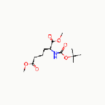 COC(=O)CCC[C@H](NC(=O)OC(C)(C)C)C(=O)OC